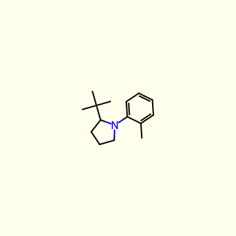 Cc1ccccc1N1CCCC1C(C)(C)C